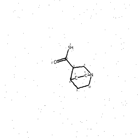 O=C(S)C1CN2CCC1CC2